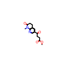 COC(=O)CCC(=O)c1cnc2c(c1)CCC(=O)N2C